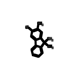 Cc1cc2c(cc1Cl)-c1ccccc1C2(C)C